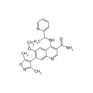 COc1cc2c(NC(C)c3ccccn3)c(C(N)=O)cnc2cc1-c1c(C)noc1C